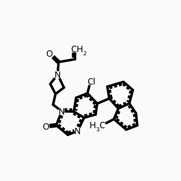 C=CC(=O)N1CC(Cn2c(=O)cnc3cc(-c4cccc5cccc(C)c45)c(Cl)cc32)C1